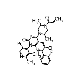 C=CC(=O)N1CC(C)N(c2nc(=O)n(-c3c(C(C)C)cnc(C)c3C)c3nc(-c4ccccc4F)c(Cl)cc23)CC1C